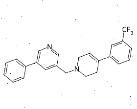 FC(F)(F)c1cccc(C2=CCN(Cc3cncc(-c4ccccc4)c3)CC2)c1